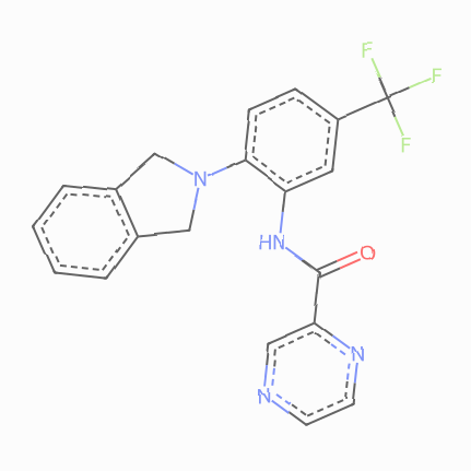 O=C(Nc1cc(C(F)(F)F)ccc1N1Cc2ccccc2C1)c1cnccn1